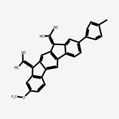 [C-]#[N+]/C(C#N)=C1/c2cc(OC(F)(F)F)ccc2-c2cc3c(cc21)/C(=C(\C#N)[N+]#[C-])c1cc(-c2ccc(C)cc2)ccc1-3